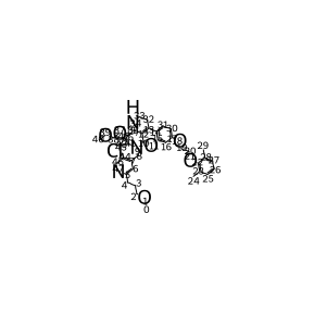 COCCCc1cc(CN(C(=O)C2=C(c3ccc(OCCOc4c(C)cccc4C)cc3)CCN[C@@H]2COCOC)C2CC2)c(Cl)cn1